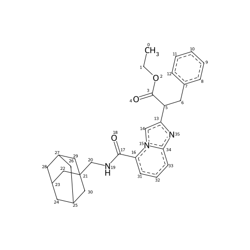 CCOC(=O)C(Cc1ccccc1)c1cn2c(C(=O)NCC34CC5CC(CC(C5)C3)C4)cccc2n1